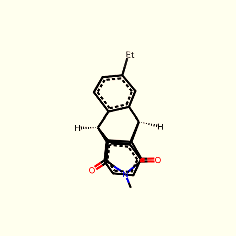 CCc1ccc2c(c1)[C@H]1C3=C(C(=O)N(C)C3=O)[C@@H]2c2ccccc21